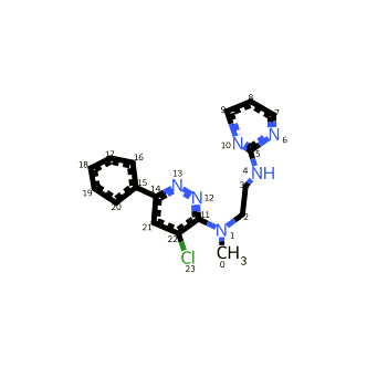 CN(CCNc1ncccn1)c1nnc(-c2ccccc2)cc1Cl